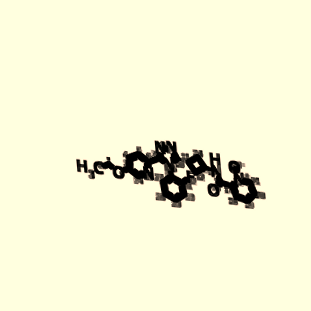 CCOc1ccc(-c2nnc([C@H]3C[C@H](NC(=O)c4cccc[n+]4[O-])C3)n2-c2ccccc2F)nc1